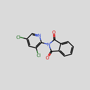 O=C1c2ccccc2C(=O)N1c1ncc(Cl)cc1Cl